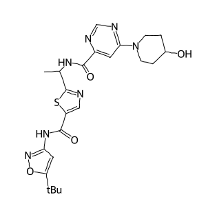 CC(NC(=O)c1cc(N2CCC(O)CC2)ncn1)c1ncc(C(=O)Nc2cc(C(C)(C)C)on2)s1